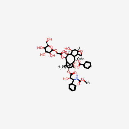 CC(=O)O[C@@]12CO[C@@H]1C[C@H](O)[C@@]1(C)C(=O)[C@H](OC(=O)COC3O[C@H](CO)C(O)[C@@H](O)C3O)C3=C(C)[C@@H](OC(=O)[C@H](O)[C@@H](NC(=O)OC(C)(C)C)c4ccccc4)C[C@@](O)([C@@H](OC(=O)c4ccccc4)C12)C3(C)C